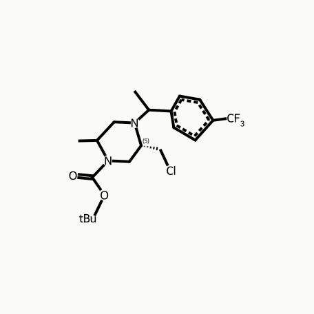 CC1CN(C(C)c2ccc(C(F)(F)F)cc2)[C@H](CCl)CN1C(=O)OC(C)(C)C